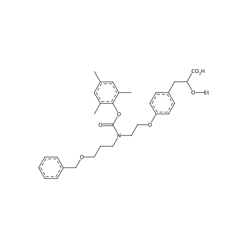 CCOC(Cc1ccc(OCCN(CCCOCc2ccccc2)C(=O)Oc2c(C)cc(C)cc2C)cc1)C(=O)O